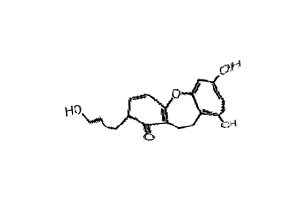 O=C1C2=C(C=CC1CCCO)Oc1cc(O)cc(O)c1CC2